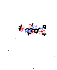 CC(=O)NC(CCCCB1OC(C)(C)C(C)(C)O1)(C(=O)NC(C)(C)C)c1cccc(CN(C(=O)OC(C)(C)C)C2CCC2)c1